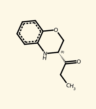 CCC(=O)[C@H]1COc2ccccc2N1